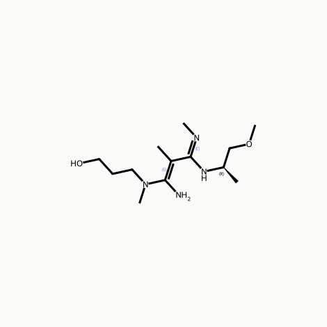 C/N=C(N[C@H](C)COC)\C(C)=C(/N)N(C)CCCO